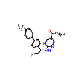 COC(=O)c1cnc(NC(CC(C)C)c2ccc(-c3ccc(C(F)(F)F)cc3)cc2)nc1